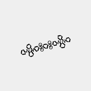 O=S(=O)(c1ccc(N2c3ccccc3N(c3ccccc3)c3ccccc32)cc1)c1ccc(S(=O)(=O)c2ccc(N3c4ccccc4N(c4ccccc4)c4ccccc43)cc2)cc1